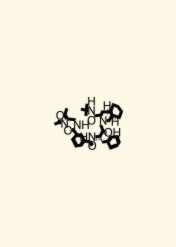 Cc1nc(CNC(=O)c2cccc(C(=O)N[C@@H](Cc3ccccc3)[C@H](O)CN3C[C@H]4CCCC[C@H]4CC3C(=O)NC(C)(C)C)c2)c(C)o1